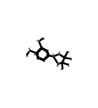 COc1cc(B2OC(C)(C)C(C)(C)O2)ccc1SC